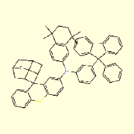 CC1(C)CCC(C)(C)c2cc(N(c3cccc(C4(c5ccccc5)c5ccccc5-c5ccccc54)c3)c3ccc4c(c3)C3(c5ccccc5S4)C4CC5CC6CC3C64C5)ccc21